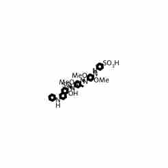 COc1cc(N=Nc2cc(OC)c(N=Nc3c(S(=O)(=O)O)cc4cc(Nc5ccccc5)ccc4c3O)cc2C)c(OC)cc1N=Nc1ccc(S(=O)(=O)O)cc1